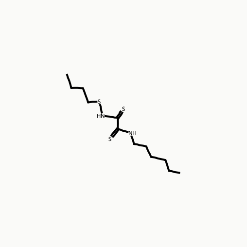 CCCCCCNC(=S)C(=S)NSCCCC